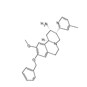 COc1cc2c(cc1OCc1ccccc1)CCN1C[C@@H](c3cc(C)ccn3)[C@@H](N)C[C@H]21